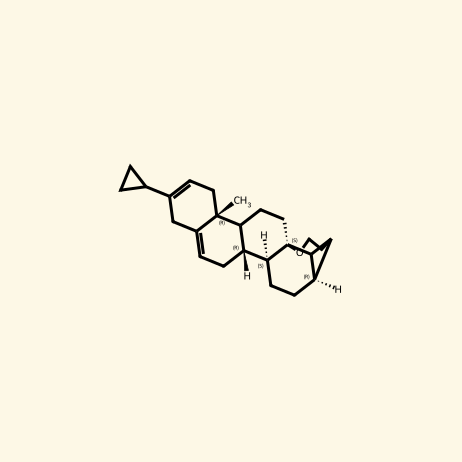 C[C@]12CC=C(C3CC3)CC1=CC[C@@H]1C2CC[C@@]23OCCC4C2[C@@H]4CC[C@@H]13